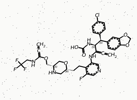 C=C=C(NCC(F)(F)F)OC[C@@H]1CO[C@H](CCc2c(F)cncc2NC(=C=C)[C@@H](NC(=O)O)[C@@H](c2ccc(Cl)cc2)c2ccc3c(c2)OCO3)CN1